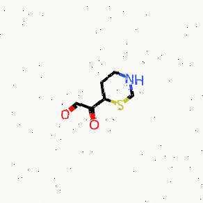 O=CC(=O)C1CCNCS1